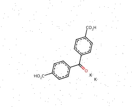 O=C(O)c1ccc(C(=O)c2ccc(C(=O)O)cc2)cc1.[K].[K]